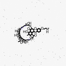 CNCCOc1ccc2nc3c4c5c6c(C)c(O)c4c(=O)c(c-3oc2c1)NC(=O)/C(C)=C\C=C\[C@H](C)[C@H](O)[C@@H](C)[C@@H](O)[C@@H](C)[C@H](OC(C)=O)[C@H](C)[C@@H](OC)/C=C/O[C@@](C)(O6)C5=O